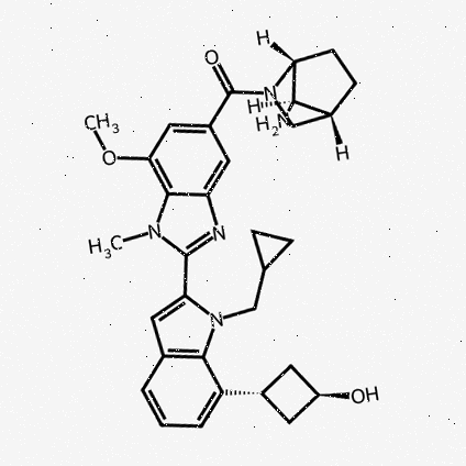 COc1cc(C(=O)N2C[C@H]3CC[C@@H]2[C@@H]3N)cc2nc(-c3cc4cccc([C@H]5C[C@H](O)C5)c4n3CC3CC3)n(C)c12